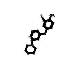 Nc1ccc(Oc2ccnc(N3CCCCC3)c2)cc1F